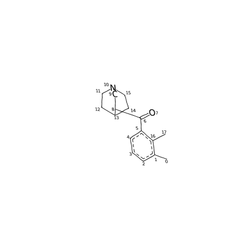 Cc1cccc(C(=O)C2CN3CCC2CC3)c1C